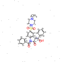 CN1CCN(S(=O)(=O)c2ccc3c(c2)/C(=C(/O)c2ccccc2)C(=O)N3C(=O)c2ccccc2)CC1